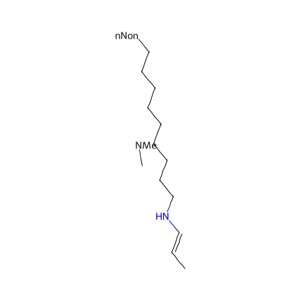 CC=CNCCCCCCCCCCCCCCCCCC.CNC